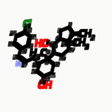 C=C1CCC2[C@H](O)C([C@@]3(C)CC[C@H](O)C[C@@H]3C/C=C\c3ccc(Cl)cc3)CC[C@]12C